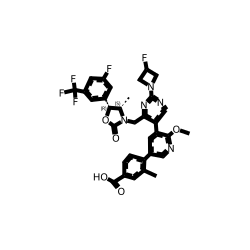 COc1ncc(-c2ccc(C(=O)O)cc2C)cc1-c1cnc(N2CC(F)C2)nc1CN1C(=O)O[C@H](c2cc(F)cc(C(F)(F)F)c2)[C@@H]1C